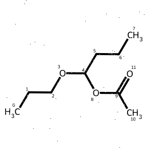 CCCOC(CCC)OC(C)=O